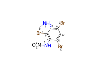 CN.O=[N+]([O-])Nc1c(Br)cc(Br)cc1Br